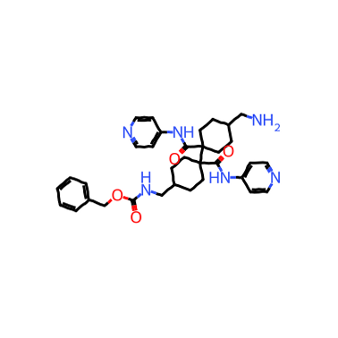 NCC1CCC(C(=O)Nc2ccncc2)(C2(C(=O)Nc3ccncc3)CCC(CNC(=O)OCc3ccccc3)CC2)CC1